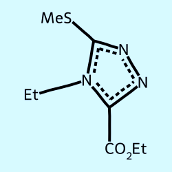 CCOC(=O)c1nnc(SC)n1CC